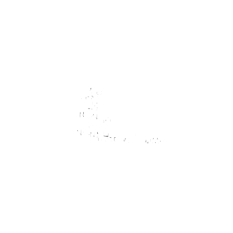 CCCCCCCC[n+]1ccn(C)c1.CCCCCCCC[n+]1ccn(C)c1.COCCOCCO.O=S(=O)([O-])[O-]